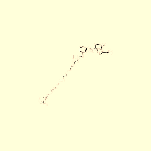 CC(=O)NCCOCCOCCOCCOCCOCCNC(=O)c1cccc(SNc2ccc(C)c3c(C#N)c[nH]c23)c1